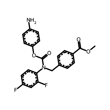 COC(=O)c1ccc(CN(C(=O)Oc2ccc(N)cc2)c2ccc(F)cc2F)cc1